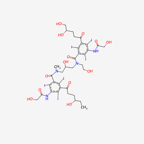 CCC(O)CCC(=O)c1c(I)c(NC(=O)CO)c(I)c(C(=O)N(C)CC(O)CN(CCO)C(=O)c2c(I)c(NC(=O)CO)c(I)c(C(=O)CCC(O)CO)c2I)c1I